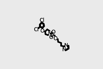 O=S(=O)(COCCCCc1ncccn1)N1CCC(Oc2ccc(Cl)cc2Cl)CC1